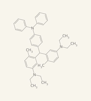 CCN(CC)c1ccc(C)c(C(c2ccc(N(c3ccccc3)c3ccccc3)cc2)c2cc(N(CC)CC)ccc2C)c1